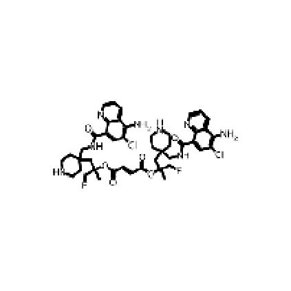 CC(CF)(CC1(CNC(=O)c2cc(Cl)c(N)c3cccnc23)CCNCC1)OC(=O)/C=C/C(=O)OC(C)(CF)CC1(CNC(=O)c2cc(Cl)c(N)c3cccnc23)CCNCC1